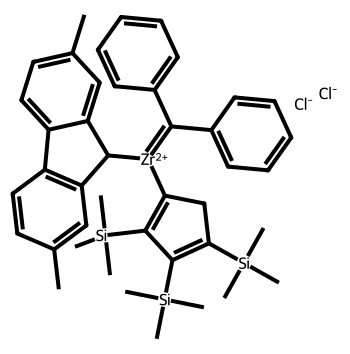 Cc1ccc2c(c1)[CH]([Zr+2]([C]1=C([Si](C)(C)C)C([Si](C)(C)C)=C([Si](C)(C)C)C1)=[C](c1ccccc1)c1ccccc1)c1cc(C)ccc1-2.[Cl-].[Cl-]